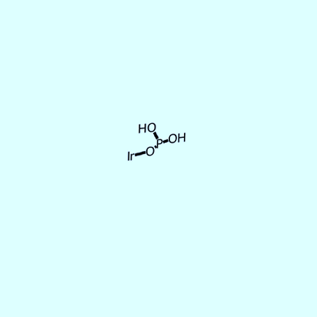 OP(O)[O][Ir]